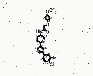 O=C(CO[C@H]1C[C@@H](OC(F)(F)F)C1)N[C@H]1CC[C@H](c2cc(-c3ccc(Cl)c(F)c3)no2)OC1